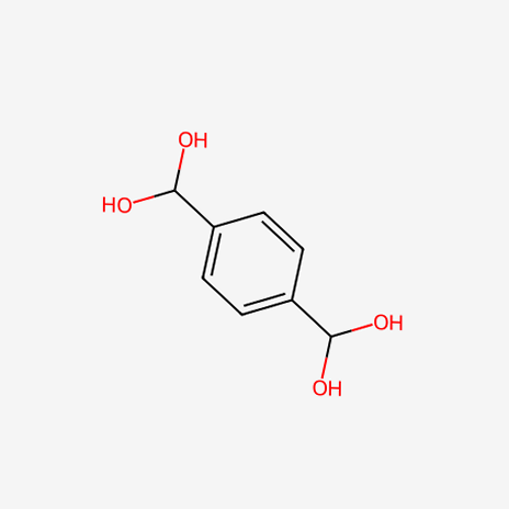 OC(O)c1ccc(C(O)O)cc1